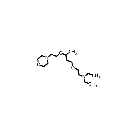 [CH2]C(CCOCCN(CC)CC)OCCN1CCOCC1